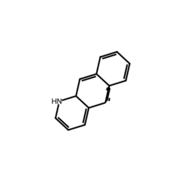 C1=CNC2C=C3C=CC=CC34C=CC=CC4C2=C1